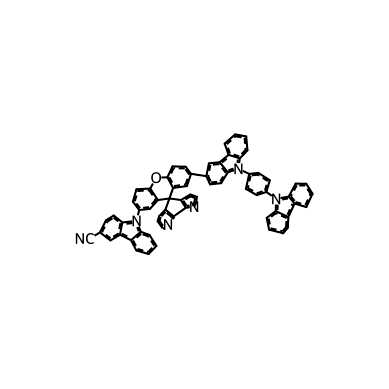 N#Cc1ccc2c(c1)c1ccccc1n2-c1ccc2c(c1)C1(c3cc(-c4ccc5c(c4)c4ccccc4n5-c4ccc(-n5c6ccccc6c6ccccc65)cc4)ccc3O2)c2cccnc2-c2ncccc21